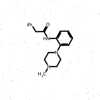 CC(C)CC(=O)Nc1ccccc1N1CCN(C)CC1